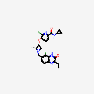 CCc1nc2ccc(CN3C[C@H](Oc4ccc(C(=O)NC5CC5)nc4F)[C@H]3C)c(F)c2[nH]c1=O